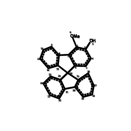 COc1c(O)ccc2c1-c1ccccc1C21c2ccccc2-c2ccccc21